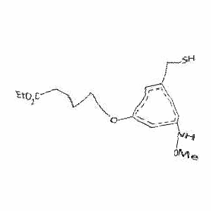 CCOC(=O)CCCOc1cc(CS)cc(NOC)c1